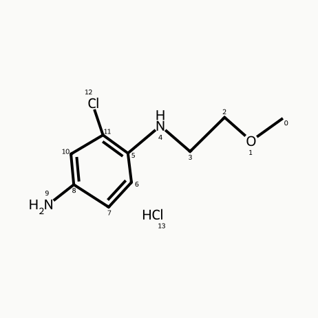 COCCNc1ccc(N)cc1Cl.Cl